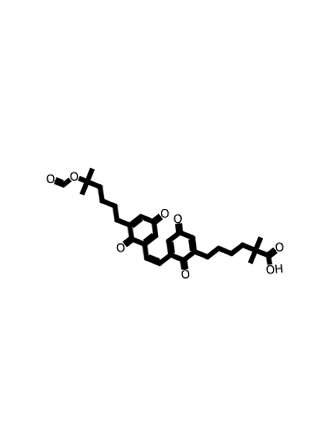 CC(C)(CCCCC1=CC(=O)C=C(/C=C\C2=CC(=O)C=C(CCCCC(C)(C)C(=O)O)C2=O)C1=O)OC=O